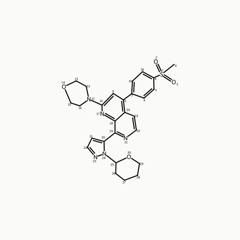 CS(=O)(=O)c1ccc(-c2cc(N3CCOCC3)nc3c(-c4ccnn4C4CCCCO4)nccc23)cc1